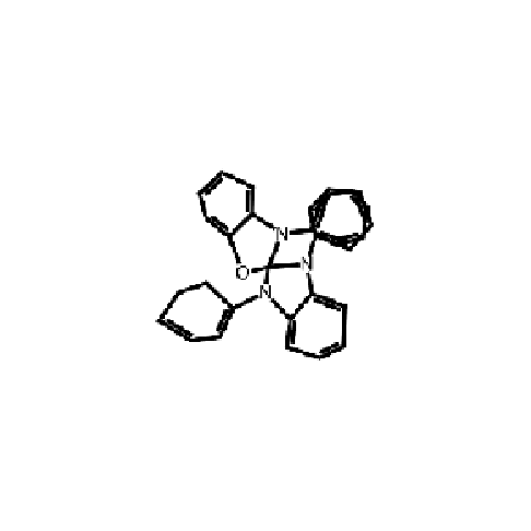 C1=CCCC(N2c3ccccc3N(c3ccccc3)C23Oc2ccccc2N3c2ccccc2)=C1